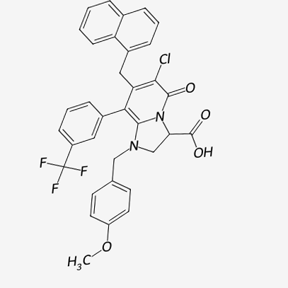 COc1ccc(CN2CC(C(=O)O)n3c2c(-c2cccc(C(F)(F)F)c2)c(Cc2cccc4ccccc24)c(Cl)c3=O)cc1